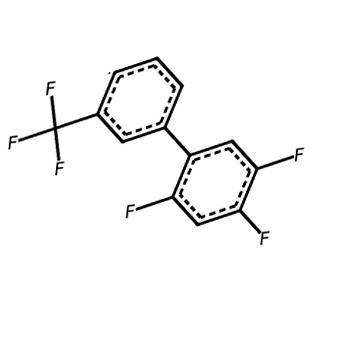 Fc1cc(F)c(-c2cc[c]c(C(F)(F)F)c2)cc1F